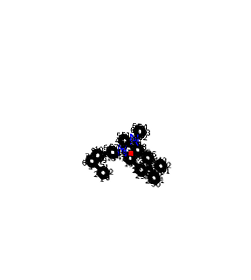 c1ccc(-c2cccc3ccc(-c4ccc(N(c5ccc(-c6cccc([Si](c7ccccc7)(c7ccccc7)c7ccccc7)c6)cc5)c5cccc6c5c5ccccc5n6-c5ccccc5)cc4)cc23)cc1